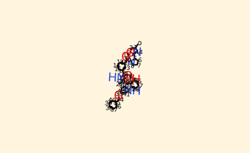 Cc1coc([C@H]2CCCN2C(=O)c2cccc(C(=O)NC(C)C(O)(c3ccccc3)[C@@H]3C[C@@H](OCc4ccccc4)CN3)c2)n1